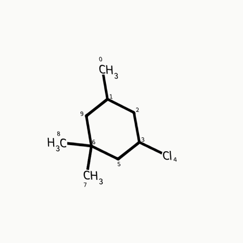 CC1CC(Cl)CC(C)(C)C1